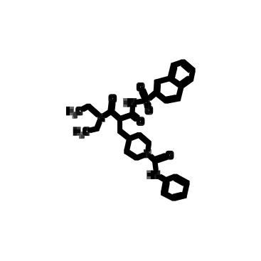 CCN(CC)C(=O)C(CC1CCN(C(=O)Nc2ccccc2)CC1)C(=O)NS(=O)(=O)c1ccc2ccccc2c1